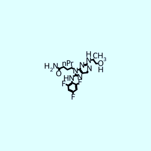 CCC[C@@H](CCC(N)=O)n1c(Nc2c(F)cc(F)cc2F)nc2cnc(N[C@@H](C)CO)nc21